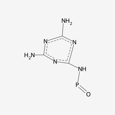 Nc1nc(N)nc(NP=O)n1